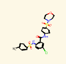 N#Cc1ccc(S(=O)(=O)Nc2ccc(Cl)cc2C(=O)Nc2ccc(S(=O)(=O)N3CCOCC3)cc2)cc1